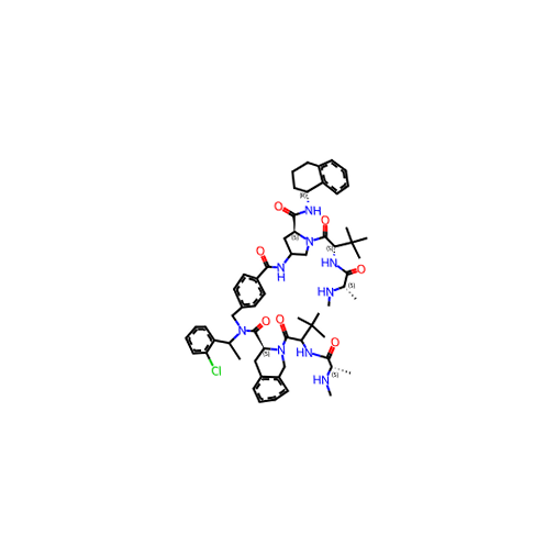 CN[C@@H](C)C(=O)NC(C(=O)N1Cc2ccccc2C[C@H]1C(=O)N(Cc1ccc(C(=O)NC2C[C@@H](C(=O)N[C@@H]3CCCc4ccccc43)N(C(=O)[C@@H](NC(=O)[C@H](C)NC)C(C)(C)C)C2)cc1)C(C)c1ccccc1Cl)C(C)(C)C